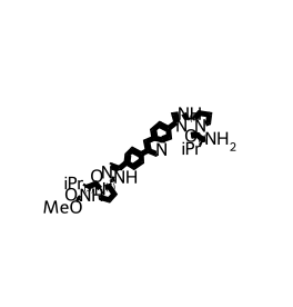 COC(=O)N[C@H](C(=O)N1CCC[C@H]1c1ncc(-c2ccc(-c3cnc4cc(-c5c[nH]c([C@@H]6CCCN6C(=O)[C@@H](N)C(C)C)n5)ccc4c3)cc2)[nH]1)C(C)C